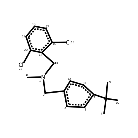 CN(Cc1ccc(C(C)(C)C)cc1)Cc1c(Cl)cccc1Cl